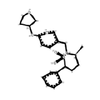 C[C@H]1CCC(c2ccccc2)S(=O)(=O)N1Cc1ccc(OC2CCOC2)cc1